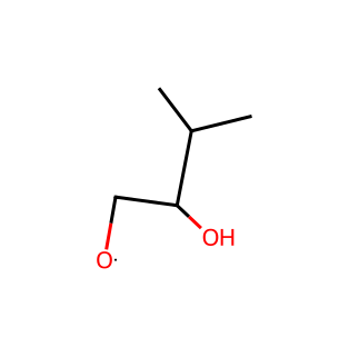 CC(C)C(O)C[O]